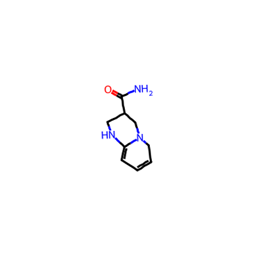 NC(=O)C1CNC2=CC=CCN2C1